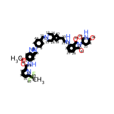 COc1cc2nn(C3CCC(CN4CCC5(CC4)CC(CCNc4cccc6c4C(=O)N(C4CCC(=O)NC4=O)C6=O)C5)CC3)cc2cc1NC(=O)c1cccc(C(C)(F)F)n1